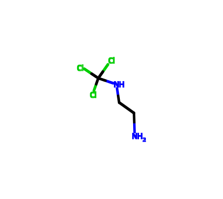 NCCNC(Cl)(Cl)Cl